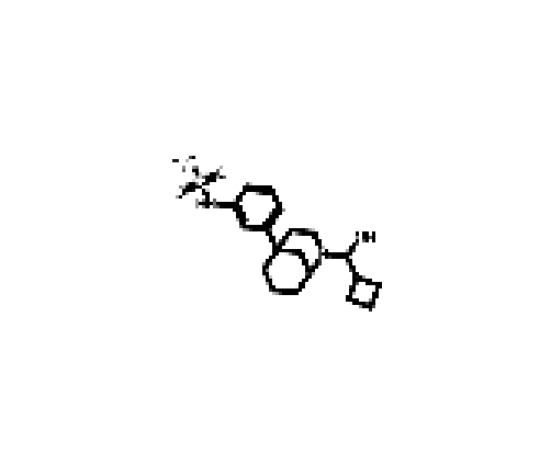 CS(=O)(=O)Nc1cccc(C23CCCC(C2)N(C(O)C2CCC2)CC3)c1